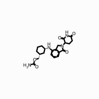 NC(=O)OC[C@@H]1CCC[C@H](Nc2cccc3c2CN(C2CCC(=O)NC2=O)C3=O)C1